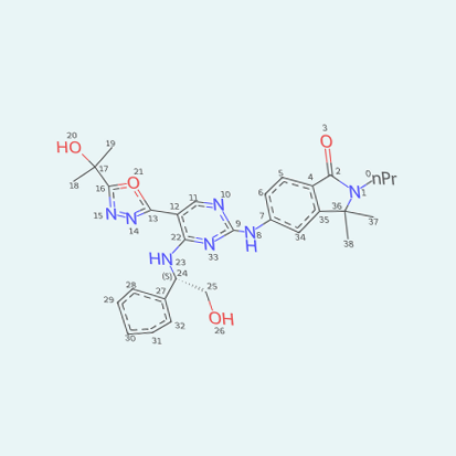 CCCN1C(=O)c2ccc(Nc3ncc(-c4nnc(C(C)(C)O)o4)c(N[C@H](CO)c4ccccc4)n3)cc2C1(C)C